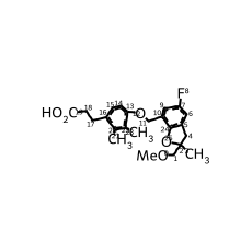 COCC1(C)Cc2cc(F)cc(COc3ccc(CCC(=O)O)c(C)c3C)c2O1